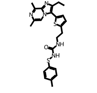 CCc1nc2c(C)nc(C)cn2c1-c1ccc(CCNC(=O)NSc2ccc(C)cc2)s1